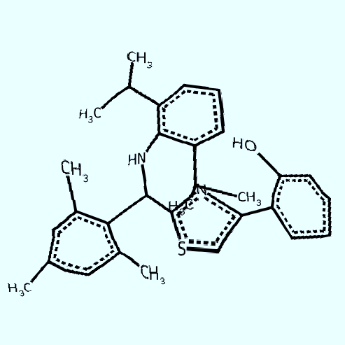 Cc1cc(C)c(C(Nc2c(C(C)C)cccc2C(C)C)c2nc(-c3ccccc3O)cs2)c(C)c1